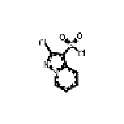 O=S(=O)(Cl)c1c(Cl)nn2ccccc12